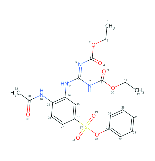 CCOC(=O)/N=C(\NC(=O)OCC)Nc1cc(S(=O)(=O)Oc2ccccc2)ccc1NC(C)=O